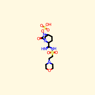 N=C(NS(=O)(=O)CCN1CCOCC1)C1CCC2CN1C(=O)N2OS(=O)(=O)O